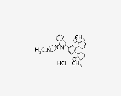 CCN1CCN(c2nc(-c3ccc(-c4ccccc4OC)c(-c4ccccc4OC)c3)cc3ccccc23)CC1.Cl